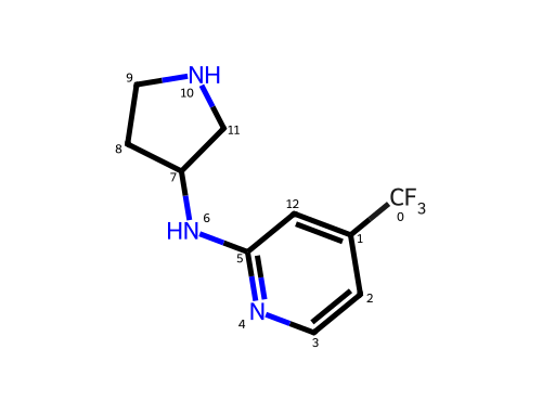 FC(F)(F)c1ccnc(NC2CCNC2)c1